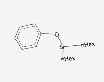 CCCCCC[Si](CCCCCC)Oc1ccccc1